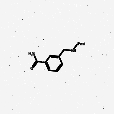 CCCC(C)NCc1cccc(C(N)=O)c1